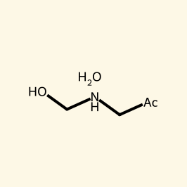 CC(=O)CNCO.O